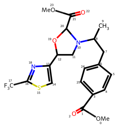 COC(=O)c1ccc(CC(C)N2CC(c3csc(C(F)(F)F)n3)OC2C(=O)OC)cc1